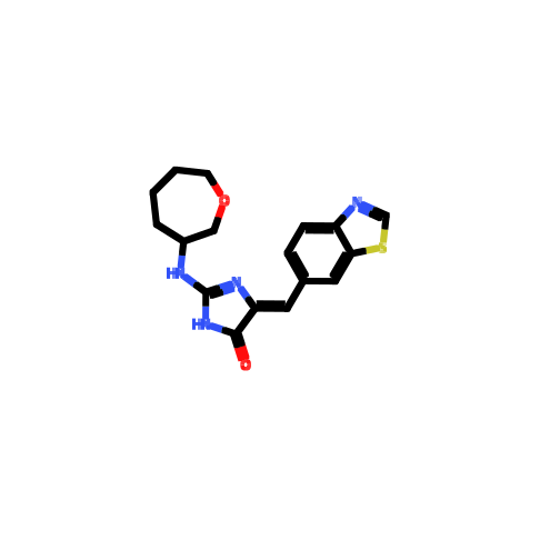 O=C1NC(NC2CCCCOC2)=N/C1=C\c1ccc2ncsc2c1